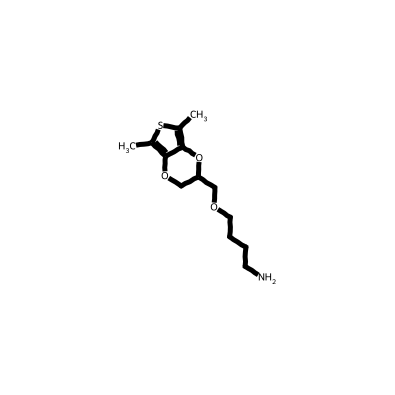 Cc1sc(C)c2c1OCC(COCCCCN)O2